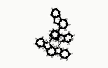 c1ccc2c(c1)Cc1c(-c3ccc(-n4c5ccccc5c5ccc6c7ccccc7n(-n7c8ccccc8c8ccncc87)c6c54)cc3)cccc1-2